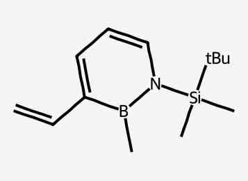 C=CC1=CC=CN([Si](C)(C)C(C)(C)C)B1C